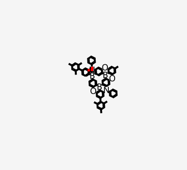 Cc1cc(C)c(-c2cc3c4c(c2)N(c2ccccc2)c2cc5c(cc2B4c2ccccc2O3)B2c3cc4c(cc3Oc3cc(C)cc(c32)O5)N(c2ccccc2)c2cc(-c3c(C)cc(C)cc3C)cc3c2B4c2ccccc2O3)c(C)c1